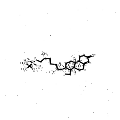 C[C@H](CCC[C@@H](C)[C@H]1CC[C@H]2[C@@H]3CCC4=CC(=O)CC[C@]4(C)[C@H]3CC[C@]12C)CO[Si](C)(C)C(C)(C)C